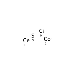 [C].[Ce].[Co].[S]